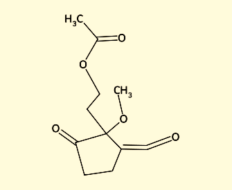 COC1(CCOC(C)=O)C(=O)CCC1=C=O